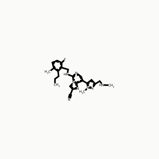 CCCc1c(C)ccc(F)c1CNc1ncc(-c2cc(CNC)nn2C)c2nc(C#N)cn12